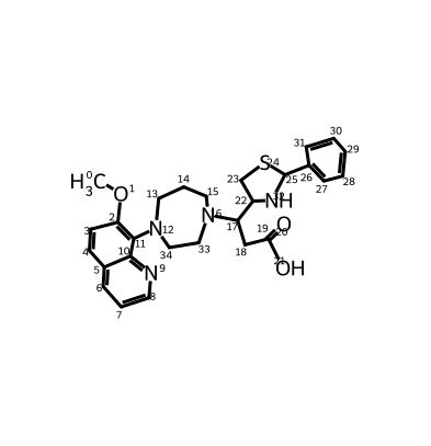 COc1ccc2cccnc2c1N1CCCN(C(CC(=O)O)C2CSC(c3ccccc3)N2)CC1